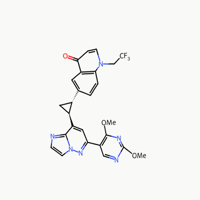 COc1ncc(-c2cc([C@H]3C[C@@H]3c3ccc4c(c3)c(=O)ccn4CC(F)(F)F)c3nccn3n2)c(OC)n1